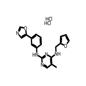 Cc1cnc(Nc2cccc(-c3cnco3)c2)nc1NCc1ccco1.Cl.Cl